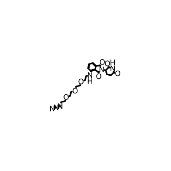 [N-]=[N+]=NCCOCCOCCOCCNc1cccc2c1C(=O)N(C1CCC(=O)NC1=O)C2=O